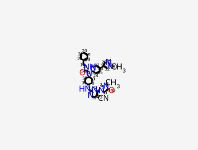 CN1CN(c2nc(N[C@H]3CC[C@H](N(C(=O)NCc4ccccc4)c4ccc(-c5cnn(C)c5)cn4)CC3)ncc2C#N)CC1=O